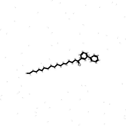 CCCCCCCCCCCCCCCCCC(=O)c1cccc(-c2ccccc2)c1